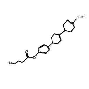 CCCCCC1CCC(C2CCC(c3ccc(OC(=O)CCCO)cc3)CC2)CC1